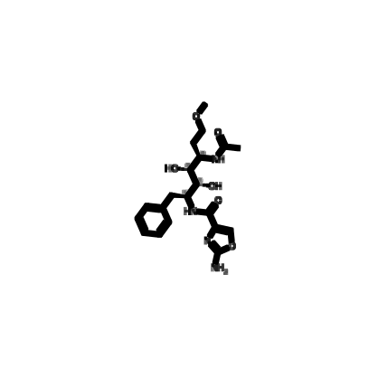 COCC[C@@H](NC(C)=O)[C@@H](O)[C@H](O)[C@H](Cc1ccccc1)NC(=O)c1coc(N)n1